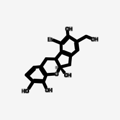 CCc1c(O)c(CO)cc2c1C1Cc3ccc(O)c(O)c3O[C@@]1(O)C2